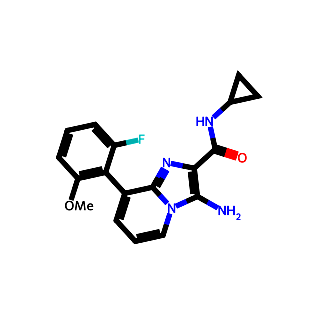 COc1cccc(F)c1-c1cccn2c(N)c(C(=O)NC3CC3)nc12